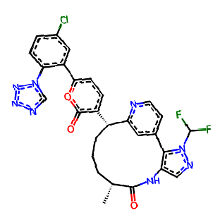 C[C@@H]1CCC[C@H](c2ccc(-c3cc(Cl)ccc3-n3cnnn3)oc2=O)c2cc(ccn2)-c2c(cnn2C(F)F)NC1=O